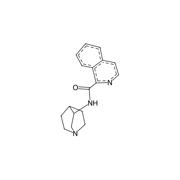 O=C(NC1CN2CCC1CC2)c1nccc2ccccc12